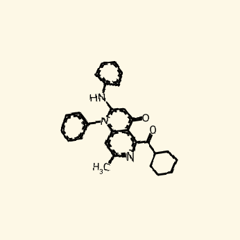 Cc1cc2c(c(C(=O)C3CCCCC3)n1)c(=O)cc(Nc1ccccc1)n2-c1ccccc1